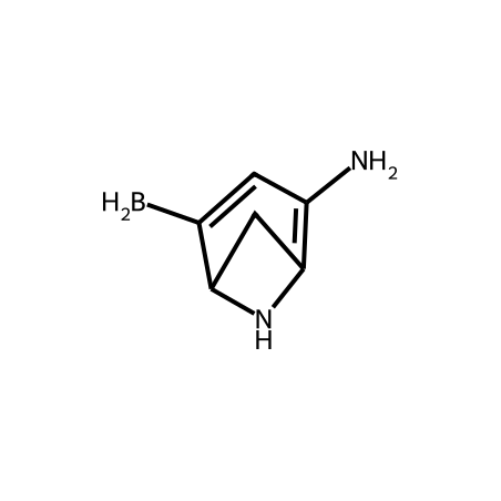 BC1=CC(N)=C2CC1N2